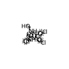 O=C(NCCO)c1nc(-c2ccc(Cl)cc2)c(-c2ccc(Cl)cc2)nc1C(=O)NN1CCCCC1